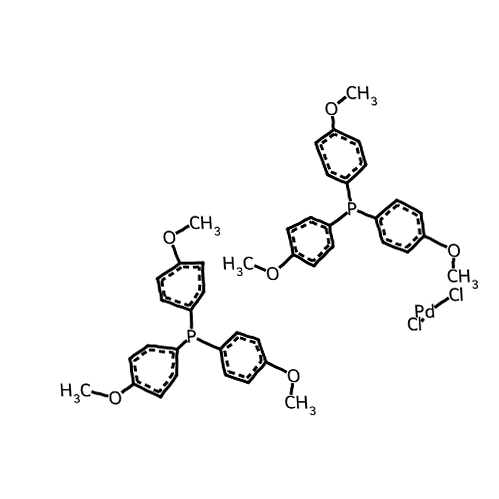 COc1ccc(P(c2ccc(OC)cc2)c2ccc(OC)cc2)cc1.COc1ccc(P(c2ccc(OC)cc2)c2ccc(OC)cc2)cc1.[Cl][Pd][Cl]